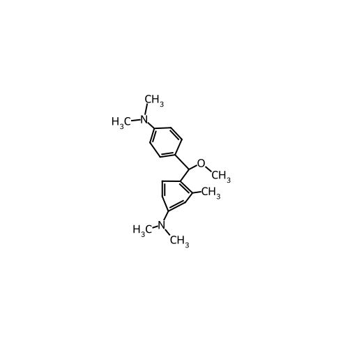 COC(c1ccc(N(C)C)cc1)c1ccc(N(C)C)cc1C